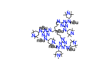 CCCCN(c1nc(N(C)CCCCC(CCCN(C)c2nc(N(CCCC)C3CC(C)(C)N(C)C(C)(C)C3)nc(N(CCCC)C3CC(C)(C)N(C)C(C)(C)C3)n2)CN(C)c2nc(N(CCCC)C3CC(C)(C)N(C)C(C)(C)C3)nc(N(CCCC)C3CC(C)(C)N(C)C(C)(C)C3)n2)nc(N(CCCC)C2CC(C)(C)N(C)C(C)(C)C2)n1)C1CC(C)(C)N(C)C(C)(C)C1